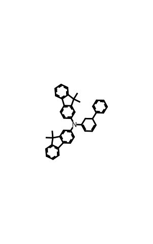 CC1(C)c2ccccc2-c2ccc(N(C3=CC=CC(c4ccccc4)C3)c3ccc4c(c3)C(C)(C)c3ccccc3-4)cc21